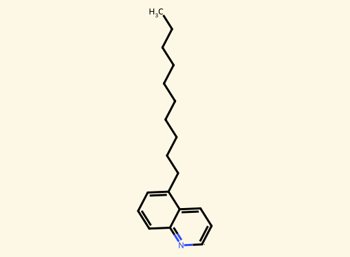 CCCCCCCCCCc1cccc2n[c]ccc12